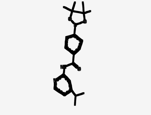 CC(C)c1ccnc(NC(=O)c2ccc(B3OC(C)(C)C(C)(C)O3)cc2)c1